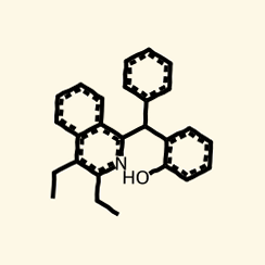 CCc1nc(C(c2ccccc2)c2ccccc2O)c2ccccc2c1CC